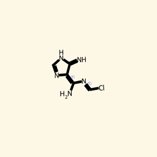 N=C1NC=N/C1=C(N)/N=C/Cl